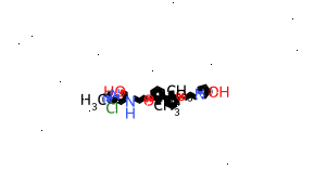 Cc1c(OCCCNC(CO)Cc2ncn(C)c2Cl)cccc1-c1cccc(OCCCN2CC[C@@H](O)C2)c1C